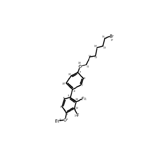 CCOc1ccc(-c2ccc(OCCCCCCBr)cc2)c(F)c1F